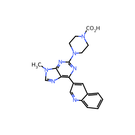 Cn1cnc2c(-c3cnc4ccccc4c3)nc(N3CCN(C(=O)O)CC3)nc21